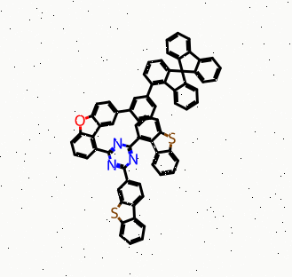 c1cc(-c2ccc3oc4cccc(-c5nc(-c6ccc7c(c6)sc6ccccc67)nc(-c6cccc7sc8ccccc8c67)n5)c4c3c2)cc(-c2cccc3c2-c2ccccc2C32c3ccccc3-c3ccccc32)c1